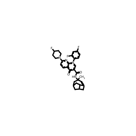 CC1(NC(=O)c2cn(-c3ccc(F)cc3F)c3nc(N4CCC(F)CC4)ccc3c2=O)C=C2CC3CC(CC23)C1